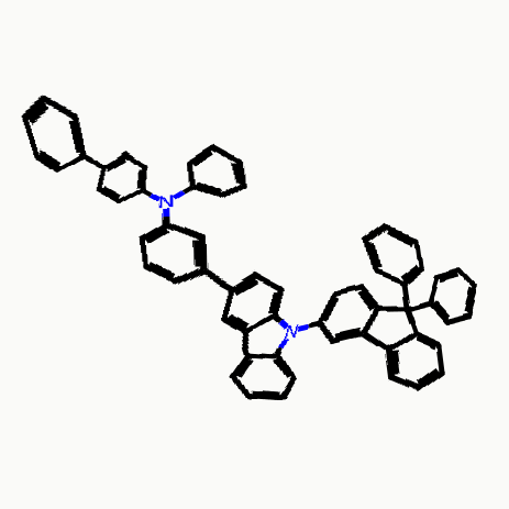 c1ccc(-c2ccc(N(c3ccccc3)c3cccc(-c4ccc5c(c4)c4ccccc4n5-c4ccc5c(c4)-c4ccccc4C5(c4ccccc4)c4ccccc4)c3)cc2)cc1